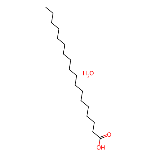 CCCCCCCCCCCCCCCCCC(=O)O.O